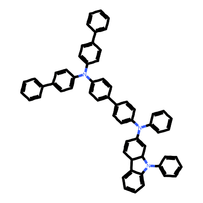 C1=CC2c3ccccc3N(c3ccccc3)C2C=C1N(c1ccccc1)c1ccc(-c2ccc(N(c3ccc(-c4ccccc4)cc3)c3ccc(-c4ccccc4)cc3)cc2)cc1